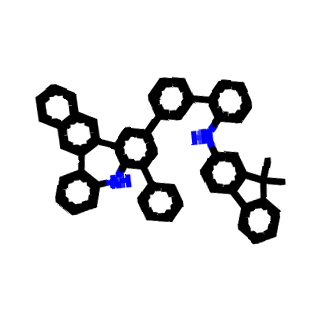 CC1(C)c2ccccc2-c2ccc(Nc3ccccc3-c3cccc(-c4cc(-c5ccccc5)c5c(c4)-c4cc6ccccc6cc4-c4ccccc4N5)c3)cc21